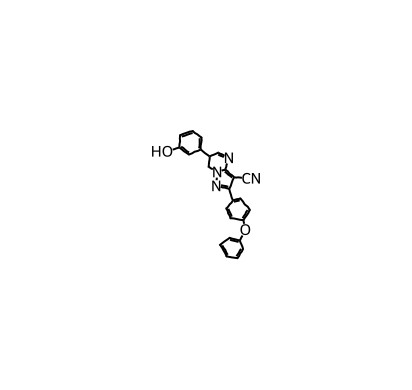 N#Cc1c(-c2ccc(Oc3ccccc3)cc2)nn2c1N=CC(c1cccc(O)c1)C2